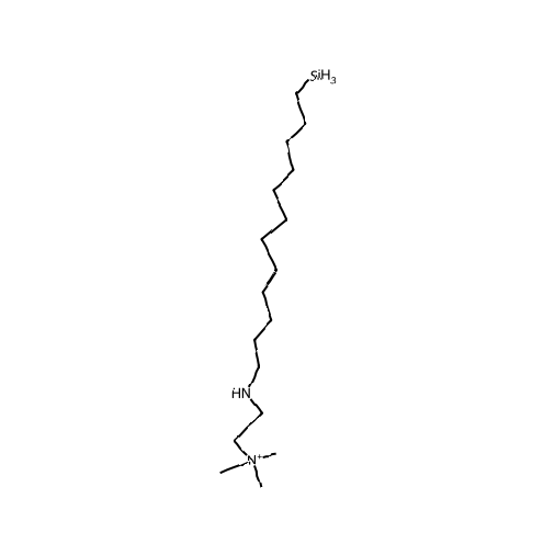 C[N+](C)(C)CCNCCCCCCCCCCCC[SiH3]